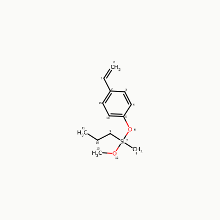 C=Cc1ccc(O[Si](C)(CCC)OC)cc1